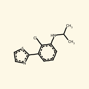 CC(C)Nc1cccc(-c2nccs2)c1Cl